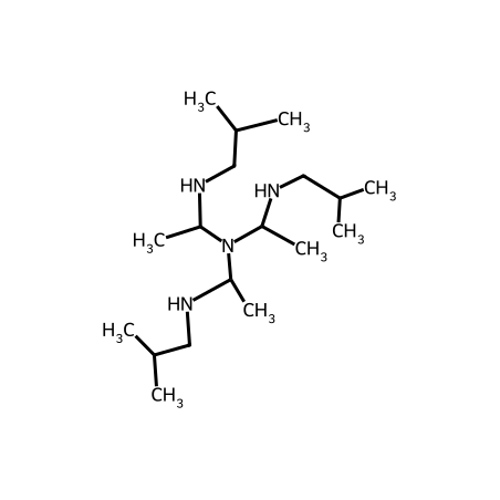 CC(C)CNC(C)N(C(C)NCC(C)C)C(C)NCC(C)C